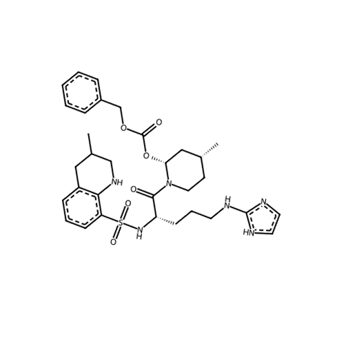 CC1CNc2c(cccc2S(=O)(=O)N[C@@H](CCCNc2ncc[nH]2)C(=O)N2CC[C@@H](C)C[C@H]2OC(=O)OCc2ccccc2)C1